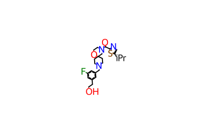 CC(C)c1cnc(C(=O)N2CCOC3(CCN(Cc4cc(F)cc(CCO)c4)CC3)C2)s1